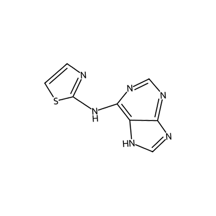 c1csc(Nc2ncnc3nc[nH]c23)n1